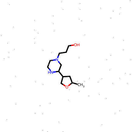 CC1CC(C2CN(CCCO)CCN2)CO1